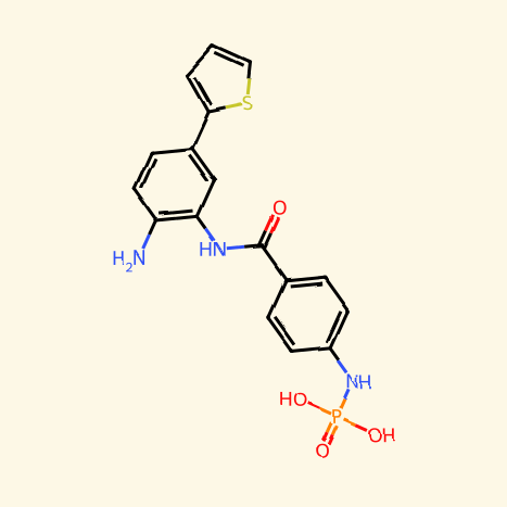 Nc1ccc(-c2cccs2)cc1NC(=O)c1ccc(NP(=O)(O)O)cc1